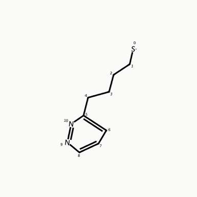 [S]CCCCc1cccnn1